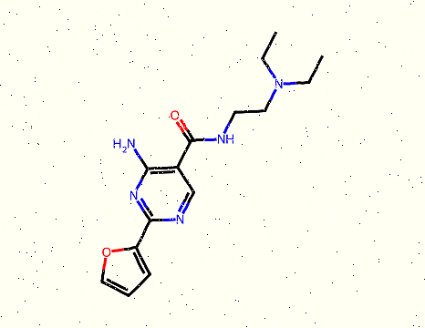 CCN(CC)CCNC(=O)c1cnc(-c2ccco2)nc1N